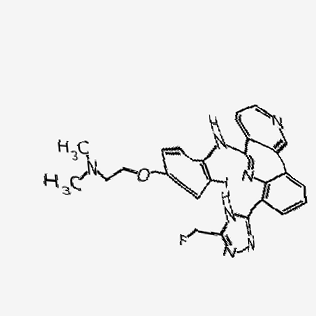 CN(C)CCOc1ccc(Nc2nc3c(-c4nnc(CF)[nH]4)cccc3c3cnccc23)c(I)c1